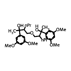 CCCC(COCC(CCC)C(C)(O)c1cc(OC)cc(OC)c1)C(C)(O)c1cc(OC)cc(OC)c1